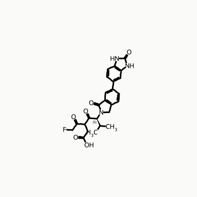 CC(C)[C@@H](C(=O)C(CC(=O)O)C(=O)CF)N1Cc2ccc(-c3ccc4[nH]c(=O)[nH]c4c3)cc2C1=O